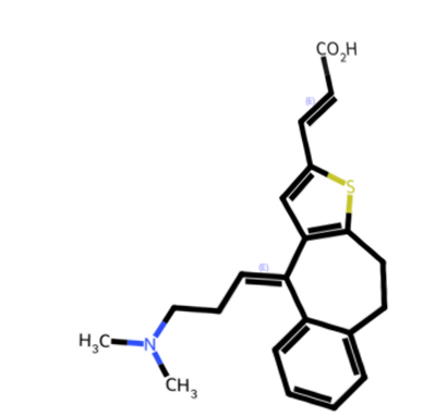 CN(C)CC/C=C1\c2ccccc2CCc2sc(/C=C/C(=O)O)cc21